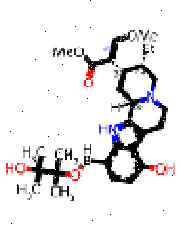 CC[C@@H]1CN2CCc3c([nH]c4c(BOC(C)(C)C(C)(C)O)ccc(O)c34)[C@@H]2C[C@@H]1/C(=C\OC)C(=O)OC